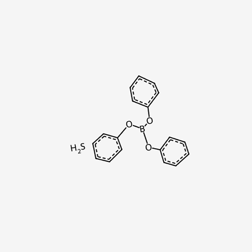 S.c1ccc(OB(Oc2ccccc2)Oc2ccccc2)cc1